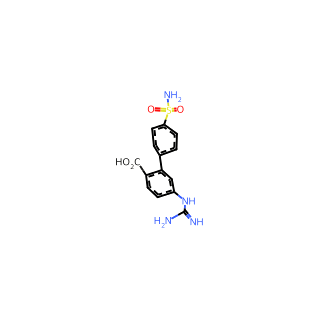 N=C(N)Nc1ccc(C(=O)O)c(-c2ccc(S(N)(=O)=O)cc2)c1